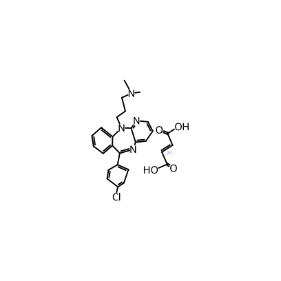 CN(C)CCCN1c2ccccc2C(c2ccc(Cl)cc2)=Nc2cccnc21.O=C(O)/C=C/C(=O)O